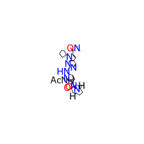 CC(=O)NCC(=O)N1[C@@H]2CC[C@H]1CN(c1ccc(Nc3ncc4cc(C(=O)N(C)C)n(C5CCCC5)c4n3)nc1)C(=O)C2